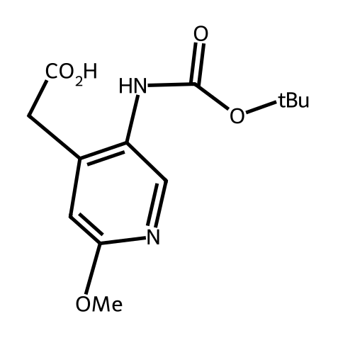 COc1cc(CC(=O)O)c(NC(=O)OC(C)(C)C)cn1